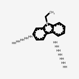 CCn1c2ccccc2c2ccccc21.[HH].[HH].[HH].[HH].[HH].[HH].[HH].[HH].[HH].[HH].[HH].[HH]